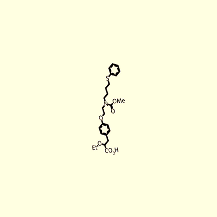 CCOC(Cc1ccc(OCCN(CCCCSc2ccccc2)C(=O)OC)cc1)C(=O)O